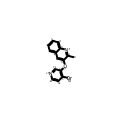 Cc1nc2ccccc2cc1Oc1cnccc1Br